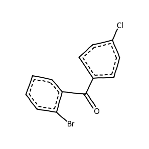 O=C(c1ccc(Cl)cc1)c1ccccc1Br